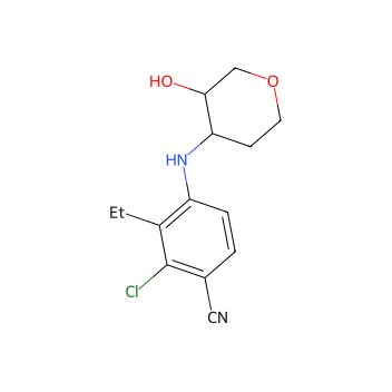 CCc1c(NC2CCOCC2O)ccc(C#N)c1Cl